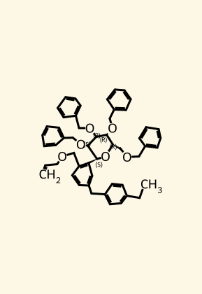 C=CCOCc1ccc(Cc2ccc(CC)cc2)cc1[C@@H]1O[C@H](COCc2ccccc2)[C@@H](OCc2ccccc2)[C@H](OCc2ccccc2)[C@H]1OCc1ccccc1